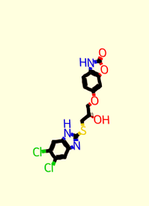 O=c1[nH]c2ccc(OC[C@@H](O)CSc3nc4cc(Cl)c(Cl)cc4[nH]3)cc2o1